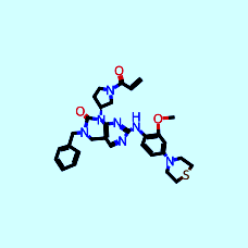 C=CC(=O)N1CC[C@H](N2C(=O)N(Cc3ccccc3)Cc3cnc(Nc4ccc(N5CCSCC5)cc4OC)nc32)C1